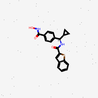 O=C(NO)c1ccc([C@H](NC(=O)c2cc3ccccc3s2)C2CC2)cc1